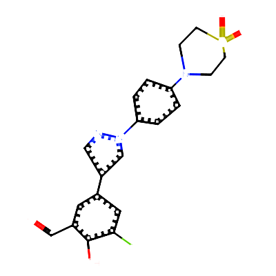 O=Cc1cc(-c2cnn(-c3ccc(N4CCS(=O)(=O)CC4)cc3)c2)cc(F)c1O